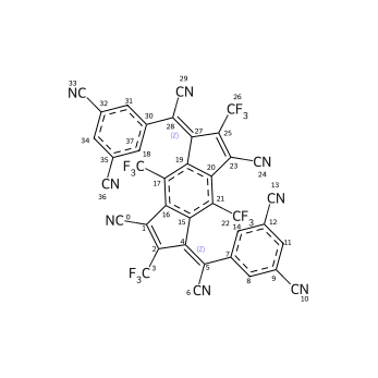 N#CC1=C(C(F)(F)F)/C(=C(\C#N)c2cc(C#N)cc(C#N)c2)c2c1c(C(F)(F)F)c1c(c2C(F)(F)F)C(C#N)=C(C(F)(F)F)/C1=C(\C#N)c1cc(C#N)cc(C#N)c1